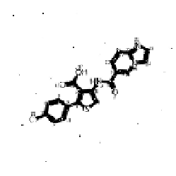 O=C(Nc1csc(-c2ccc(Cl)cc2)c1C(=O)O)c1ccc2nccn2c1